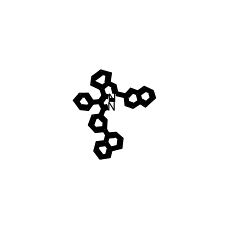 c1ccc(-c2c(-c3cccc(-c4cccc5ccccc45)c3)nn3c(-c4ccc5ccccc5c4)cc4ccccc4c23)cc1